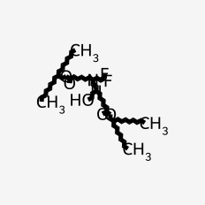 CCCCCCCCC(CCCCCCCC)COC(=O)CCCCCN(CC=C(F)F)CCN(CCO)CCCCCC(=O)OCC(CCCCCCCC)CCCCCCCC